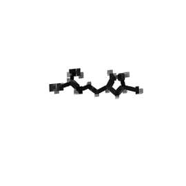 NC(N)=NCCc1cc(I)on1